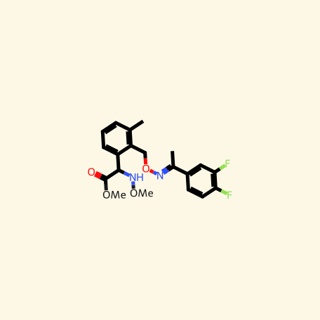 CONC(C(=O)OC)c1cccc(C)c1CO/N=C(\C)c1ccc(F)c(F)c1